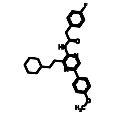 COc1ccc(-c2cnc(NC(=O)Cc3ccc(F)cc3)c(CCC3CCCCC3)n2)cc1